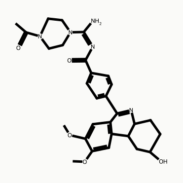 COc1cc2c(cc1OC)C1CC(O)CCC1N=C2c1ccc(C(=O)N=C(N)N2CCN(C(C)=O)CC2)cc1